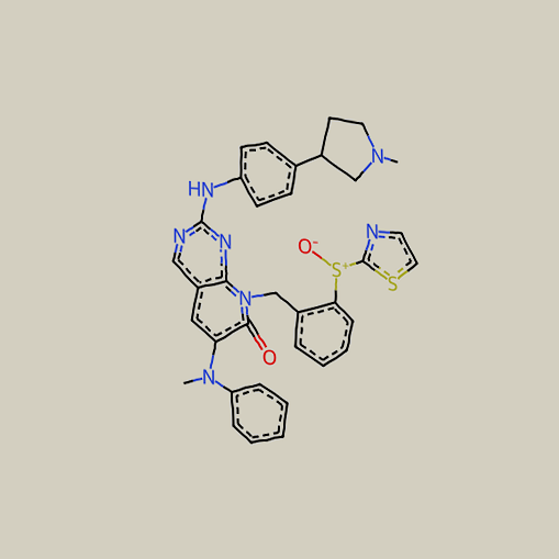 CN1CCC(c2ccc(Nc3ncc4cc(N(C)c5ccccc5)c(=O)n(Cc5ccccc5[S+]([O-])c5nccs5)c4n3)cc2)C1